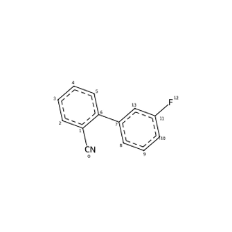 N#Cc1ccccc1-c1cc[c]c(F)c1